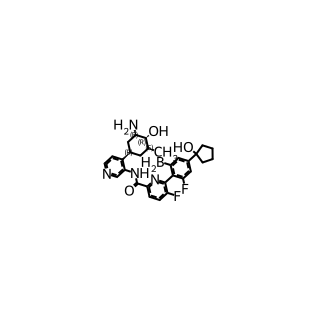 Bc1cc(C2(O)CCCC2)cc(F)c1-c1nc(C(=O)Nc2cnccc2[C@H]2C[C@@H](N)[C@H](O)[C@@H](C)C2)ccc1F